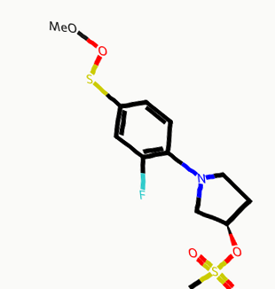 COOSc1ccc(N2CC[C@@H](OS(C)(=O)=O)C2)c(F)c1